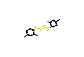 Cc1ccc(SSSSc2ccc(C)cc2C)c(C)c1